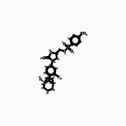 Cc1ccc(S(=O)(=O)OCC2CN(c3ccc(N4C5CC[C@@H]4CSC5)c(F)c3)C(=O)O2)cc1